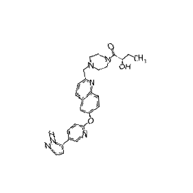 CC[C@@H](O)C(=O)N1CCN(Cc2ccc3cc(Oc4ccc(-c5ccn[nH]5)cn4)ccc3n2)CC1